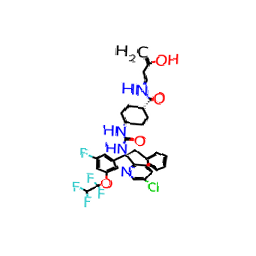 C=C(O)CCNC(=O)[C@H]1CC[C@@H](NC(=O)N[C@@](Cc2ccccc2)(c2cc(F)cc(OC(F)(F)C(F)F)c2)c2ccc(Cl)cn2)CC1